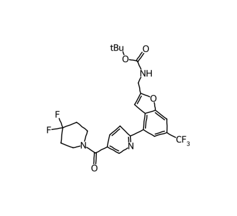 CC(C)(C)OC(=O)NCc1cc2c(-c3ccc(C(=O)N4CCC(F)(F)CC4)cn3)cc(C(F)(F)F)cc2o1